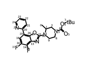 CC1CN(C(=O)OC(C)(C)C)CCN1c1nc2c(F)c(F)cc(-c3ccccn3)c2o1